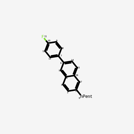 CCCCCc1ccc2cc(-c3ccc(F)cc3)ccc2c1